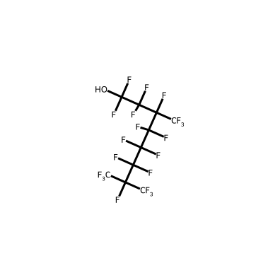 OC(F)(F)C(F)(F)C(F)(C(F)(F)F)C(F)(F)C(F)(F)C(F)(F)C(F)(C(F)(F)F)C(F)(F)F